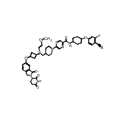 COCCN(CC1CCN(c2cnc(C(=O)NC3CCC(Oc4ccc(C#N)c(Cl)c4)CC3)cn2)CC1)C1CC(Oc2ccc3c(c2)C(=O)N([C@@H]2CCC(=O)NC2=O)C3)C1